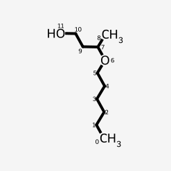 CCCCCCOC(C)CCO